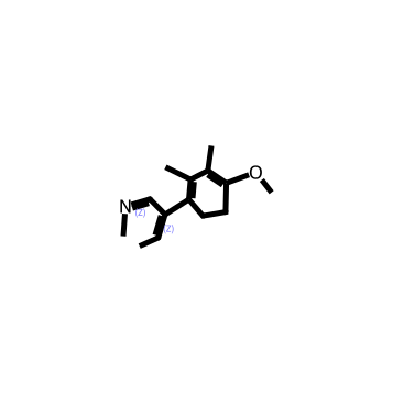 C/C=C(\C=N/C)C1=C(C)C(C)=C(OC)CC1